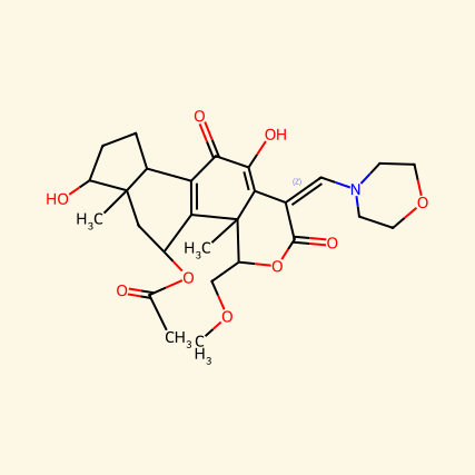 COCC1OC(=O)/C(=C\N2CCOCC2)C2=C(O)C(=O)C3=C(C(OC(C)=O)CC4(C)C(O)CCC34)C21C